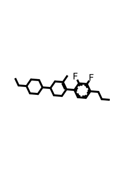 CCCc1ccc(C2=C(C)CC(C3CCC(CC)CC3)CC2)c(F)c1F